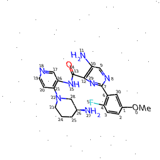 COc1ccc(F)c(-c2ncc(N)c(C(=O)Nc3cnccc3N3CCC[C@H](N)C3)n2)c1